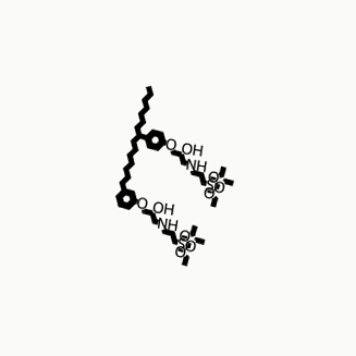 CCCCCCCC(CCCCCCCc1cccc(OCC(O)CNCCC[Si](OCC)(OCC)OCC)c1)c1ccc(OCC(O)CNCCC[Si](OCC)(OCC)OCC)cc1